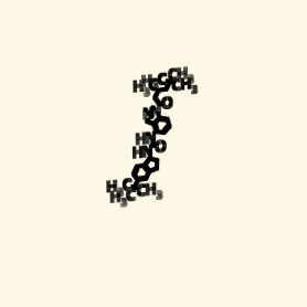 CC(CC(=O)n1ncc2c(NC(=O)N[C@@H]3CCc4cc(C(C)(C)C)ccc43)cccc21)CC(C)(C)C